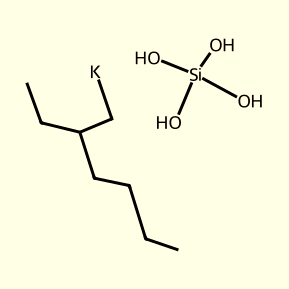 CCCCC(CC)[CH2][K].O[Si](O)(O)O